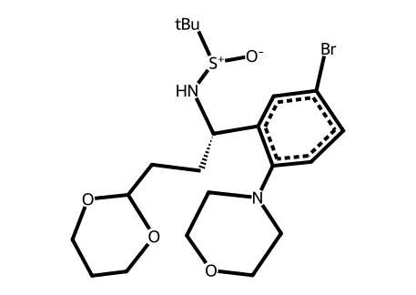 CC(C)(C)[S+]([O-])N[C@@H](CCC1OCCCO1)c1cc(Br)ccc1N1CCOCC1